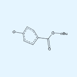 CCCCOC(=O)c1ccc([O])cc1